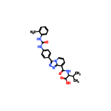 Cc1ccccc1NC(=O)Nc1ccc(-c2nnc3c(C(=O)N[C@H](C(=O)O)C(C)C)cccn23)cc1